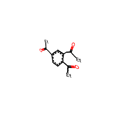 CCC(=O)c1[c]c(C(=O)CC)c(C(=O)CC)cc1